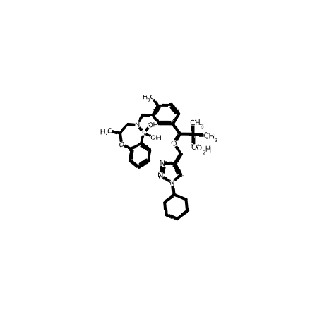 Cc1ccc(C(OCc2cn(C3CCCCC3)nn2)C(C)(C)C(=O)O)cc1CN1CC(C)Oc2ccccc2S1(O)O